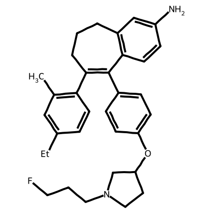 CCc1ccc(C2=C(c3ccc(OC4CCN(CCCF)C4)cc3)c3ccc(N)cc3CCC2)c(C)c1